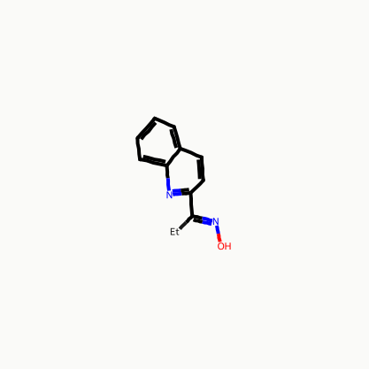 CCC(=NO)c1ccc2ccccc2n1